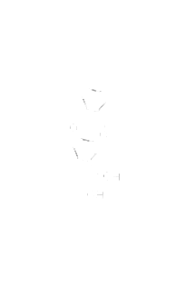 OCC(O)c1ccc2c(c1)OCc1ccccc1CO2